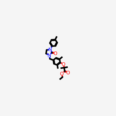 CCOC(=O)C(C)(C)Oc1c(C)cc(CN2CCN(c3ccc(C)cc3)C2=O)cc1C